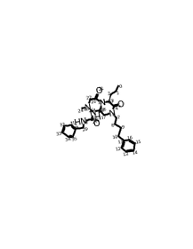 CCC[C@H]1C(=O)N(CCCCc2ccccc2)C[C@H]2N1C(=O)CN(C)N2C(=O)NCc1ccccc1